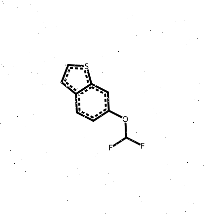 FC(F)Oc1ccc2c[c]sc2c1